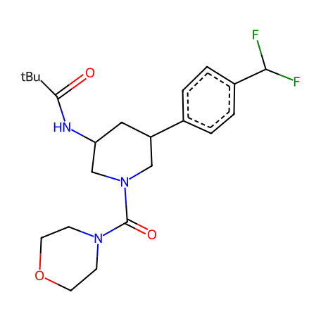 CC(C)(C)C(=O)NC1CC(c2ccc(C(F)F)cc2)CN(C(=O)N2CCOCC2)C1